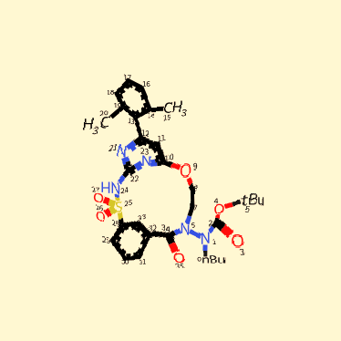 CCCCN(C(=O)OC(C)(C)C)N1CCOc2cc(-c3c(C)cccc3C)nc(n2)NS(=O)(=O)c2cccc(c2)C1=O